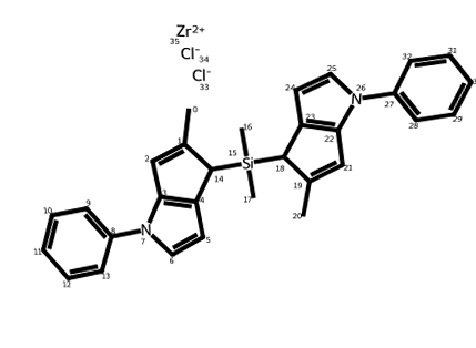 CC1=Cc2c(ccn2-c2ccccc2)C1[Si](C)(C)C1C(C)=Cc2c1ccn2-c1ccccc1.[Cl-].[Cl-].[Zr+2]